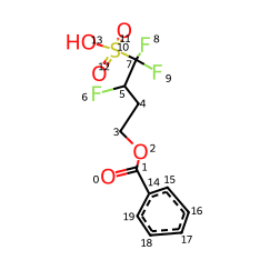 O=C(OCCC(F)C(F)(F)S(=O)(=O)O)c1ccccc1